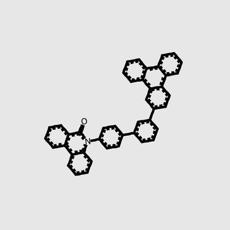 O=c1c2ccccc2c2ccccc2n1-c1ccc(-c2cccc(-c3ccc4c5ccccc5c5ccccc5c4c3)c2)cc1